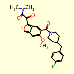 COc1cc2coc(C(=O)C(=O)N(C)C)c2cc1C(=O)N1CCC(Cc2ccc(F)cc2)CC1